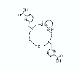 O=C(O)c1cccc(CN2CCOCCOCCN(Cc3cccc(C(=O)O)n3)CCO[C@@H]3CCCC[C@@H]3OCC2)n1